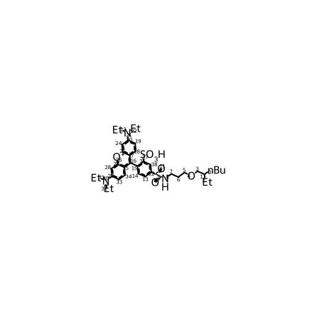 CCCCC(CC)COCCCNS(=O)(=O)c1ccc(-c2c3ccc(N(CC)CC)cc3[o+]c3cc(N(CC)CC)ccc23)c(S(=O)(=O)O)c1